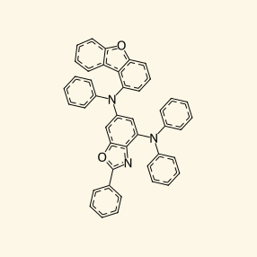 c1ccc(-c2nc3c(N(c4ccccc4)c4ccccc4)cc(N(c4ccccc4)c4cccc5oc6ccccc6c45)cc3o2)cc1